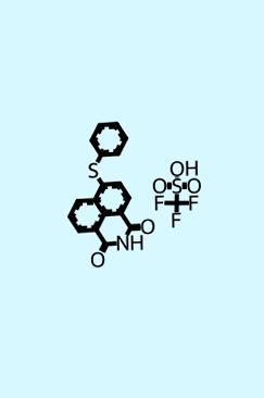 O=C1NC(=O)c2ccc(Sc3ccccc3)c3cccc1c23.O=S(=O)(O)C(F)(F)F